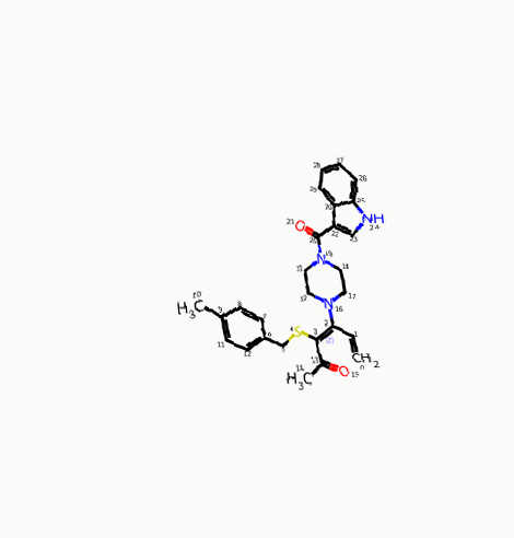 C=C/C(=C(/SCc1ccc(C)cc1)C(C)=O)N1CCN(C(=O)c2c[nH]c3ccccc23)CC1